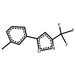 Cc1cccc(-c2cc(C(F)(F)F)no2)c1